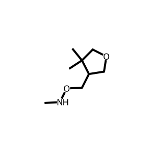 CNOCC1COCC1(C)C